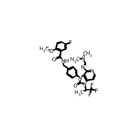 COc1ccc(F)cc1C(=O)NCc1ccc(-n2c(=O)n(C(C)C(F)(F)F)c3ccnc(N=CN(C)C)c32)cc1